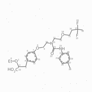 CCOC(Cc1ccc(OCCN(CCOCCC(C)(F)F)C(=O)Nc2ccc(C)cc2)cc1)C(=O)O